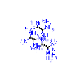 N.N.NC(N)=C(N)N.NC(N)=C(N)N.NC(N)=C(N)N